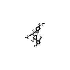 CCOC(=O)c1ccc(NC(=O)C(CCOC(C)C)n2cc(OC)c(-c3cc(Cl)ccc3C#N)cc2=O)cc1